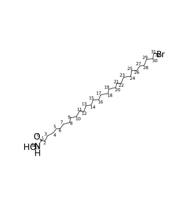 O=C(CCCCCCCCCCCCCCCCCCCCCCCCCCCCCCBr)NO